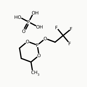 CC1CCOP(OCC(F)(F)F)O1.O=P(O)(O)O